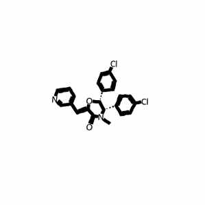 CN1C(=O)C(=Cc2cccnc2)O[C@H](c2ccc(Cl)cc2)[C@@H]1c1ccc(Cl)cc1